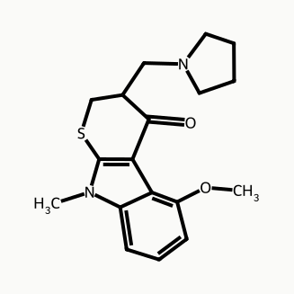 COc1cccc2c1c1c(n2C)SCC(CN2CCCC2)C1=O